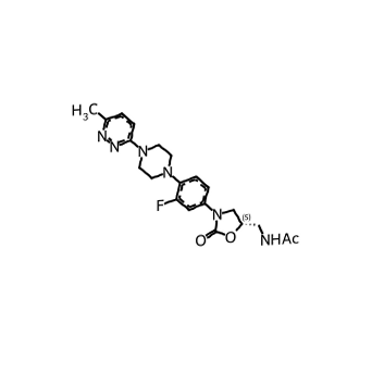 CC(=O)NC[C@H]1CN(c2ccc(N3CCN(c4ccc(C)nn4)CC3)c(F)c2)C(=O)O1